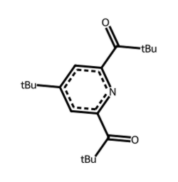 CC(C)(C)C(=O)c1cc(C(C)(C)C)cc(C(=O)C(C)(C)C)n1